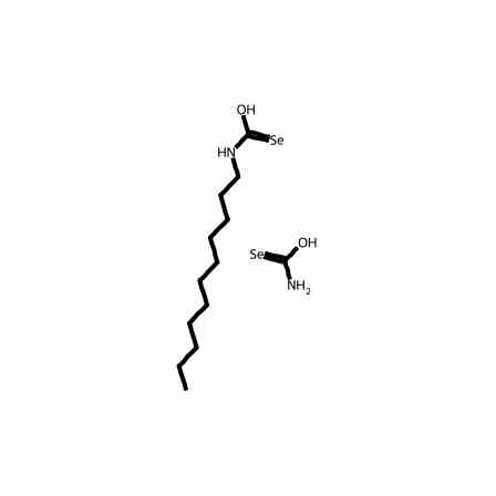 CCCCCCCCCCCNC(O)=[Se].NC(O)=[Se]